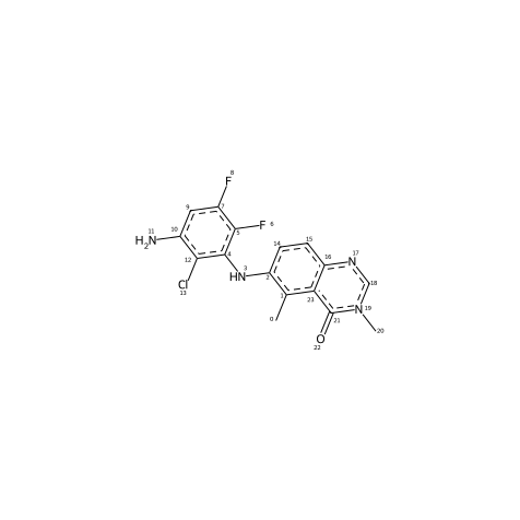 Cc1c(Nc2c(F)c(F)cc(N)c2Cl)ccc2ncn(C)c(=O)c12